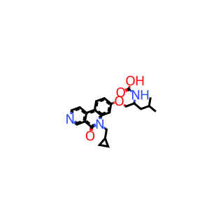 CC(C)CC(COc1ccc2c3ccncc3c(=O)n(CC3CC3)c2c1)NC(=O)O